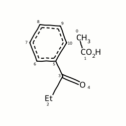 CC(=O)O.CCC(=O)c1ccccc1